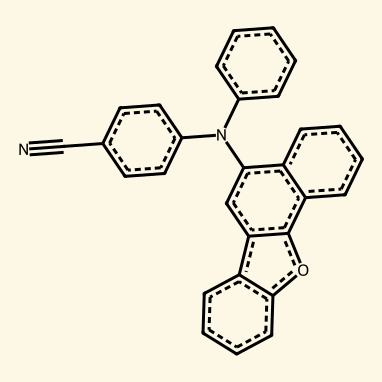 N#Cc1ccc(N(c2ccccc2)c2cc3c4ccccc4oc3c3ccccc23)cc1